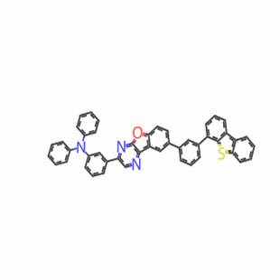 c1ccc(N(c2ccccc2)c2cccc(-c3cnc4c(n3)oc3ccc(-c5cccc(-c6cccc7c6sc6ccccc67)c5)cc34)c2)cc1